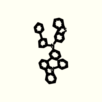 c1ccc(-c2cccc(N(c3cccc(-c4cccc5c6ccccc6n(-c6ccccc6)c45)c3)c3ccc4sc5ccccc5c4c3)c2)cc1